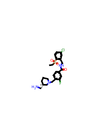 CCS(=O)(=O)c1ccc(Cl)cc1CNC(=O)c1ccc(CN2CCC[C@@H](CN)C2)c(F)c1